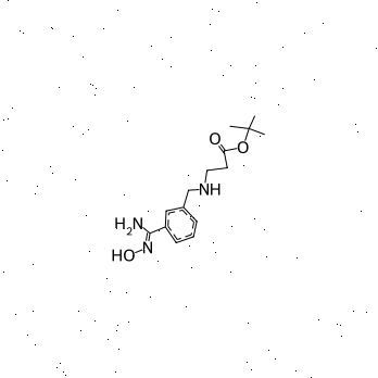 CC(C)(C)OC(=O)CCNCc1cccc(/C(N)=N/O)c1